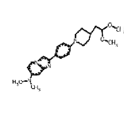 COC(CC1CCN(c2ccc(-c3cn4ccc(N(C)C)cc4n3)cc2)CC1)OC